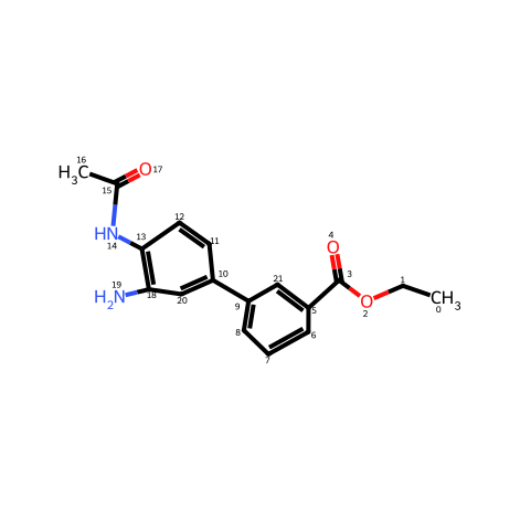 CCOC(=O)c1cccc(-c2ccc(NC(C)=O)c(N)c2)c1